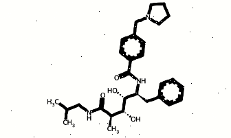 CC(C)CNC(=O)[C@H](C)[C@@H](O)[C@H](O)[C@H](Cc1ccccc1)NC(=O)c1ccc(CN2CCCC2)cc1